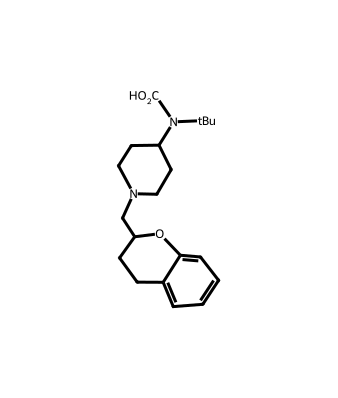 CC(C)(C)N(C(=O)O)C1CCN(CC2CCc3ccccc3O2)CC1